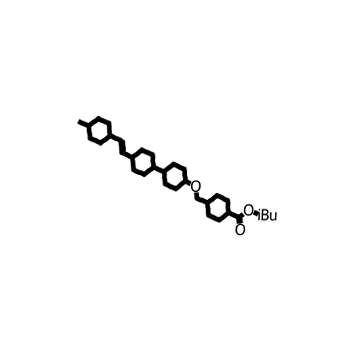 CCC(C)OC(=O)C1CCC(COC2CCC(C3CCC(C=CC4CCC(C)CC4)CC3)CC2)CC1